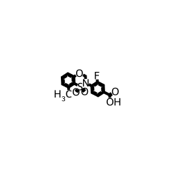 Cc1cccc2c1S(=O)(=O)N(c1ccc(C(=O)O)cc1F)CO2